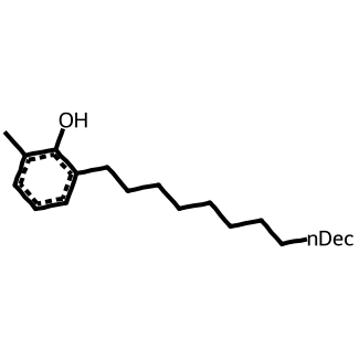 CCCCCCCCCCCCCCCCCCc1cccc(C)c1O